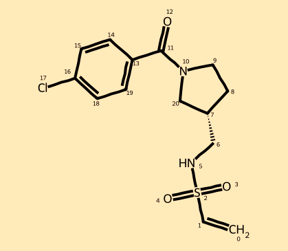 C=CS(=O)(=O)NC[C@H]1CCN(C(=O)c2ccc(Cl)cc2)C1